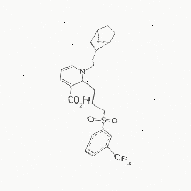 O=C(O)C1=CC=CN(CC2CC3CCC2C3)C1CCCS(=O)(=O)c1cccc(C(F)(F)F)c1